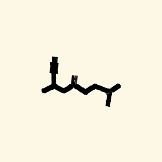 CC(C#N)CNCCN(C)C